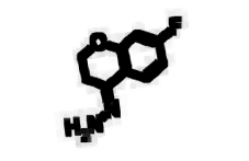 N/N=C1\CCOc2cc(F)ccc21